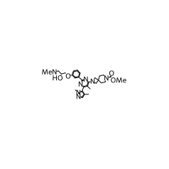 CNC[C@@H](O)COc1cccc(-c2nc(-c3c(C)cnn3C)c(C)c(N3CC4(CCN(C(=O)OC)CC4)C3)n2)c1